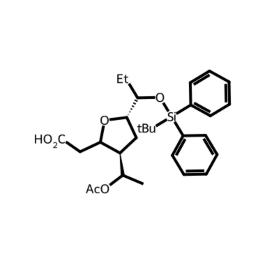 CCC(O[Si](c1ccccc1)(c1ccccc1)C(C)(C)C)[C@@H]1C[C@@H](C(C)OC(C)=O)C(CC(=O)O)O1